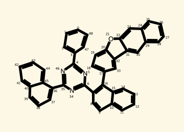 c1ccc(-c2nc(-c3ccc4ccccc4c3-c3ccc4oc5cc6ccccc6cc5c4c3)nc(-c3cccc4ccccc34)n2)cc1